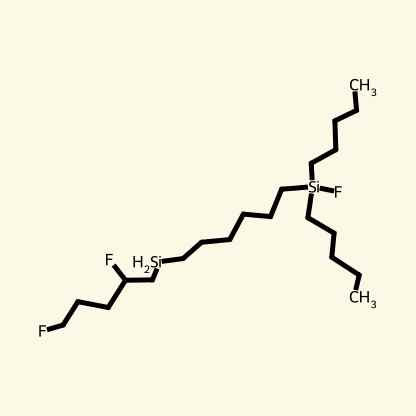 CCCCC[Si](F)(CCCCC)CCCCCC[SiH2]CC(F)CCCF